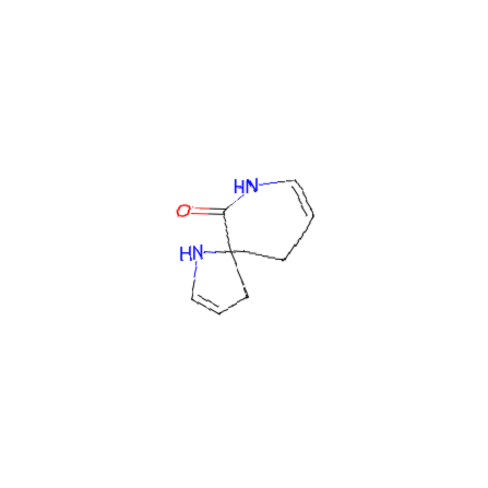 O=C1NC=CCC12CC=CN2